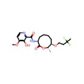 COc1ccnc(C(=O)N[C@H]2CCCC[C@@H](OCCC(C)(F)F)[C@H](C)OC2=O)c1O